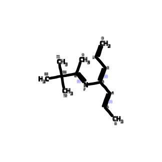 C=C/C=C(/C=C/C)\N=C(/C)C(C)(C)C